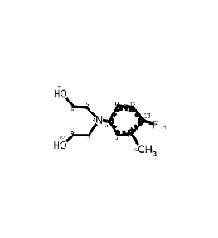 Cc1cc(N(CCO)CCO)ccc1F